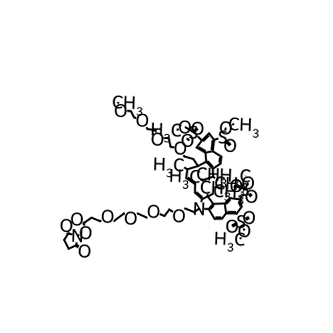 CCC(C)c1ccc2c(S(=O)OC)cc(S(=O)(=O)OC)cc2c1C(C)(CCOCCOCCOCCOC)C(C)/C=C/C=C1/N(CCOCCOCCOCCOCCC(=O)ON2C(=O)CCC2=O)c2ccc3c(S(=O)(=O)OC)cc(S(=O)(=O)OC)cc3c2C1(C)C